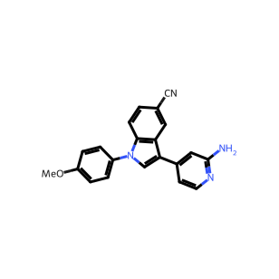 COc1ccc(-n2cc(-c3ccnc(N)c3)c3cc(C#N)ccc32)cc1